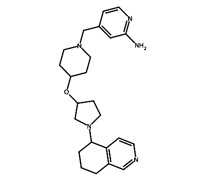 Nc1cc(CN2CCC(OC3CCN(C4CCCc5cnccc54)C3)CC2)ccn1